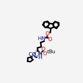 CN(C[C@H](CCCCNC(=O)OCC1c2ccccc2-c2ccccc21)NC(=O)OC(C)(C)C)C1(C(=O)O)CCCC1